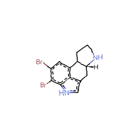 Brc1cc2c3c(c[nH]c3c1Br)C[C@H]1NCCCC21